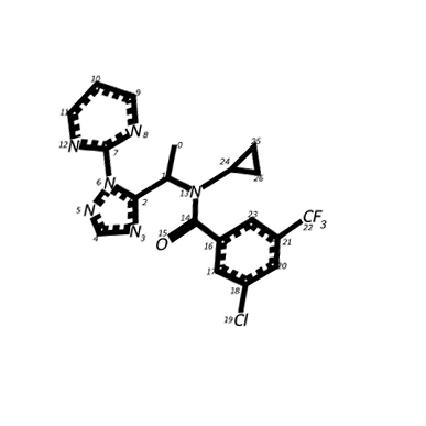 CC(c1ncnn1-c1ncccn1)N(C(=O)c1cc(Cl)cc(C(F)(F)F)c1)C1CC1